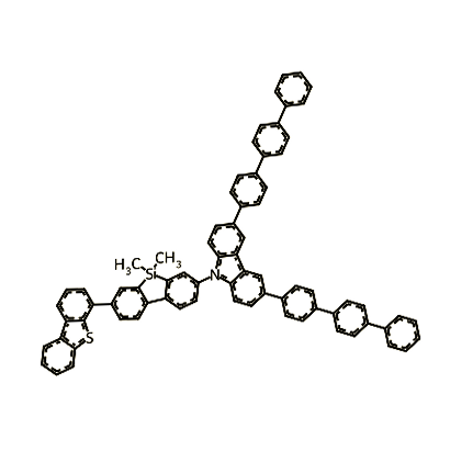 C[Si]1(C)c2cc(-c3cccc4c3sc3ccccc34)ccc2-c2ccc(-n3c4ccc(-c5ccc(-c6ccc(-c7ccccc7)cc6)cc5)cc4c4cc(-c5ccc(-c6ccc(-c7ccccc7)cc6)cc5)ccc43)cc21